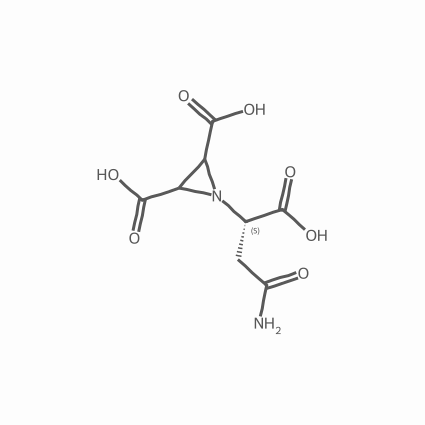 NC(=O)C[C@@H](C(=O)O)N1C(C(=O)O)C1C(=O)O